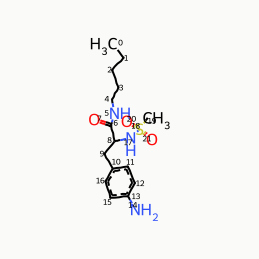 CCCCCNC(=O)C(Cc1ccc(N)cc1)NS(C)(=O)=O